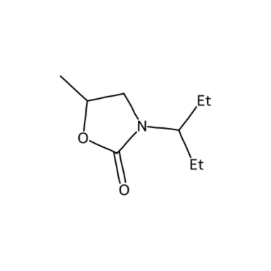 CCC(CC)N1CC(C)OC1=O